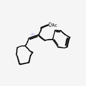 CC(=O)OC/C(=C/C1CCCCC1)Cc1ccccc1